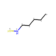 CCCCCNS